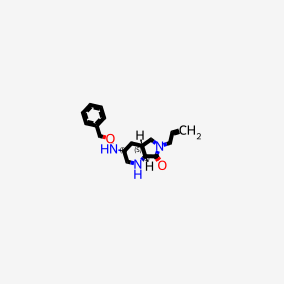 C=CCN1C[C@@H]2C[C@@H](NOCc3ccccc3)CN[C@@H]2C1=O